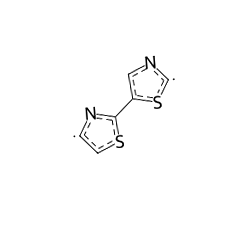 [c]1csc(-c2cn[c]s2)n1